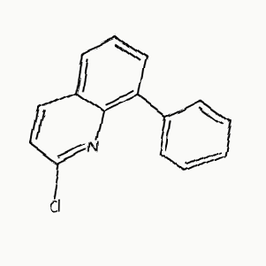 Clc1ccc2cccc(-c3ccccc3)c2n1